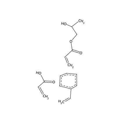 C=CC(=O)O.C=CC(=O)OCC(C)O.C=Cc1ccccc1